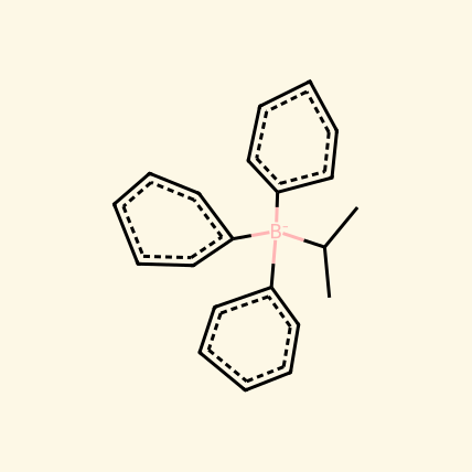 CC(C)[B-](c1ccccc1)(c1ccccc1)c1ccccc1